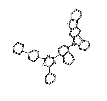 c1ccc(-c2ccc(-c3nc(-c4ccccc4)nc(-c4ccc(-n5c6ccccc6c6cc7c(cc65)oc5ccccc57)c5ccccc45)n3)cc2)cc1